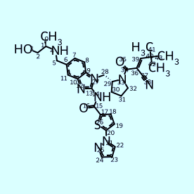 C[C@H](CO)NCc1ccc2c(c1)nc(NC(=O)c1ccc(-n3cccn3)s1)n2C[C@H]1CCCN1C(=O)C(C#N)=CC(C)(C)C